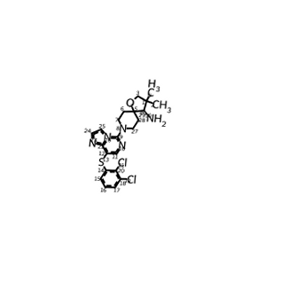 CC1(C)COC2(CCN(c3ncc(Sc4cccc(Cl)c4Cl)c4nccn34)CC2)[C@@H]1N